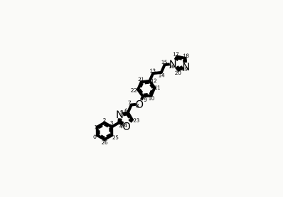 c1ccc(-c2nc(COc3ccc(CCCn4ccnc4)cc3)co2)cc1